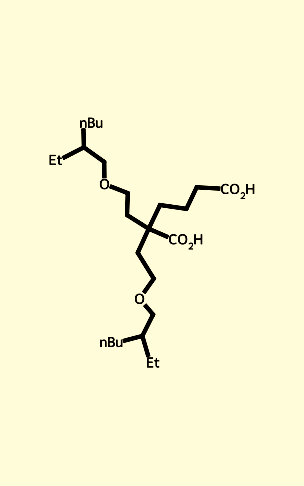 CCCCC(CC)COCCC(CCCC(=O)O)(CCOCC(CC)CCCC)C(=O)O